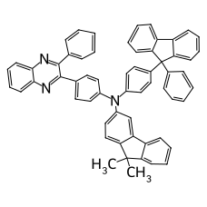 CC1(C)c2ccccc2-c2cc(N(c3ccc(-c4nc5ccccc5nc4-c4ccccc4)cc3)c3ccc(C4(c5ccccc5)c5ccccc5-c5ccccc54)cc3)ccc21